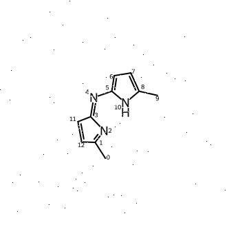 CC1=N/C(=N\c2ccc(C)[nH]2)C=C1